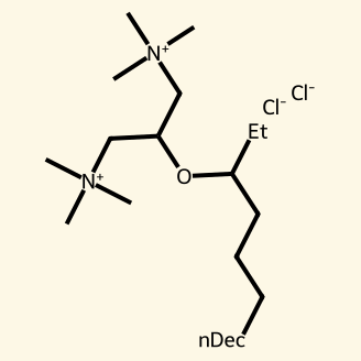 CCCCCCCCCCCCCC(CC)OC(C[N+](C)(C)C)C[N+](C)(C)C.[Cl-].[Cl-]